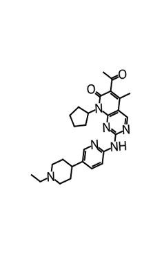 CCN1CCC(c2ccc(Nc3ncc4c(C)c(C(C)=O)c(=O)n(C5CCCC5)c4n3)nc2)CC1